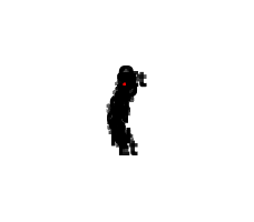 CCc1cnc(N2CCC(Oc3ncnc(Oc4cccc(/C=C5/SC(=O)N(CC)C5=O)c4)c3C)CC2)nc1